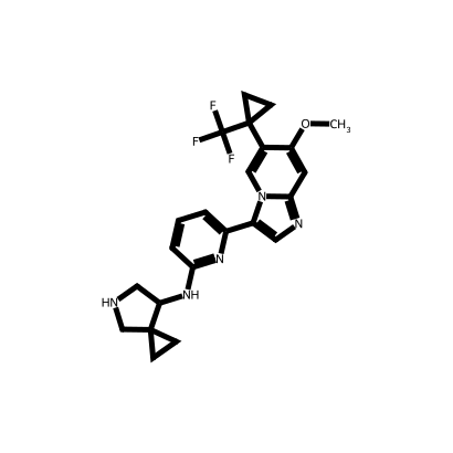 COc1cc2ncc(-c3cccc(NC4CNCC45CC5)n3)n2cc1C1(C(F)(F)F)CC1